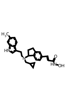 Cc1ccc2c(CCN(CC3CC3)C3CCc4cc(C=CC(=O)NO)ccc43)c[nH]c2c1